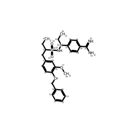 CCC(Cc1ccc(OCc2ccccc2)c(OC)c1)S(=O)(=O)NN(CC)c1ccc(C(=N)N)cc1